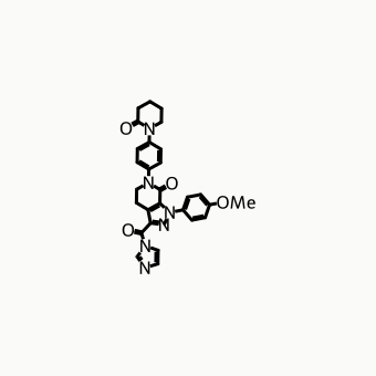 COc1ccc(-n2nc(C(=O)n3ccnc3)c3c2C(=O)N(c2ccc(N4CCCCC4=O)cc2)CC3)cc1